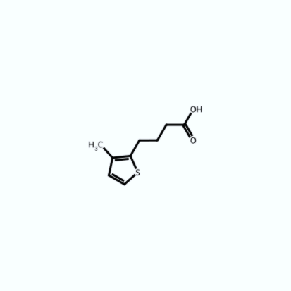 Cc1ccsc1CCCC(=O)O